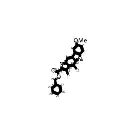 COc1ccc2c(c1)-c1cc3c(c(C)c1=N2)C(C)=C(C(=O)OCc1ccccc1)N=3